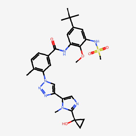 COc1c(NC(=O)c2ccc(C)c(-n3cc(-c4cnc(C5(O)CC5)n4C)nn3)c2)cc(C(C)(C)C)cc1NS(C)(=O)=O